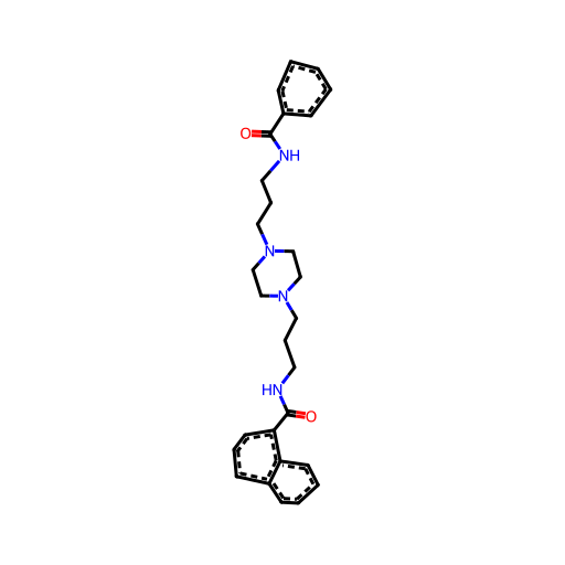 O=C(NCCCN1CCN(CCCNC(=O)c2cccc3ccccc23)CC1)c1ccccc1